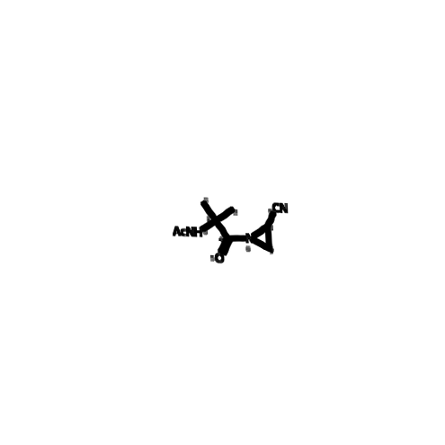 CC(=O)NC(C)(C)C(=O)N1CC1C#N